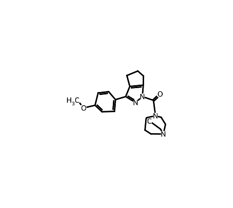 COc1ccc(-c2nn(C(=O)N3CCN4CCC3CC4)c3c2CCC3)cc1